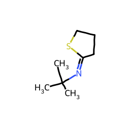 CC(C)(C)N=C1CCCS1